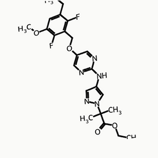 CCOC(=O)C(C)(C)n1cc(Nc2ncc(OCc3c(F)c(CC)cc(OC)c3F)cn2)cn1